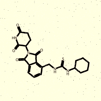 O=C1CCC(N2C(=O)c3cccc(CNC(=S)NC4CCCCC4)c3C2=O)C(=O)N1